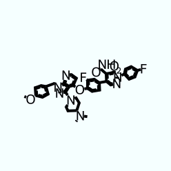 COc1ccc(Cn2nc(N3CCC(N(C)C)CC3)c3c(Oc4ccc(-c5cnn(-c6ccc(F)cc6)c(=O)c5C(N)=O)cc4F)ccnc32)cc1